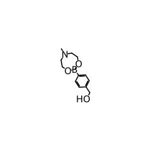 CN1CCOB(c2ccc(CO)cc2)OCC1